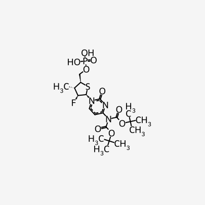 C[C@H]1[C@H](F)[C@H](n2ccc(N(C(=O)OC(C)(C)C)C(=O)OC(C)(C)C)nc2=O)S[C@@H]1COP(=O)(O)O